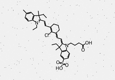 CC[N+]1=C(/C=C/C2=C(Cl)C(=C/C=C3/N(CCCC(=O)O)c4ccc(S(=O)(=O)O)cc4C3(C)CC)/CCC2)C(C)(CC)c2cc(C)ccc21